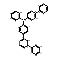 c1ccc(-c2ccc(N(c3ccccc3)c3ccc(-c4cccc(-c5ccccc5)c4)cc3)cc2)cc1